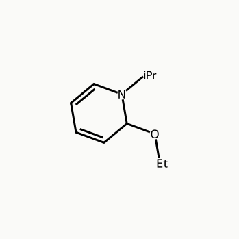 CCOC1C=CC=CN1C(C)C